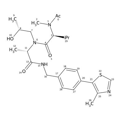 CC(=O)N(C)[C@H](C(=O)N(C[C@@H](C)O)[C@@H](C)C(=O)NCc1ccc(-c2scnc2C)cc1)C(C)C